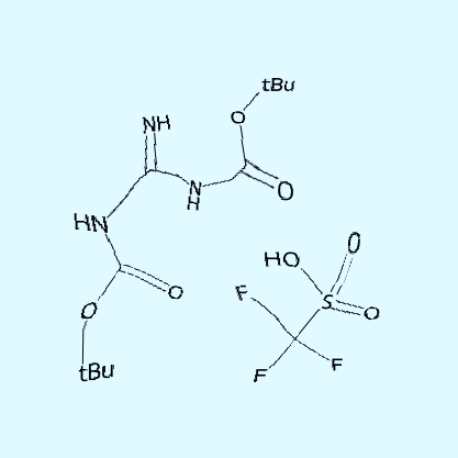 CC(C)(C)OC(=O)NC(=N)NC(=O)OC(C)(C)C.O=S(=O)(O)C(F)(F)F